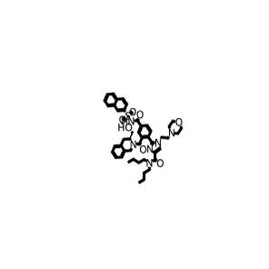 CCCCN(CCCC)C(=O)c1cn(CCN2CCOCC2)c(-c2ccc(C(=O)NS(=O)(=O)c3ccc4ccccc4c3)cc2C(=O)N2Cc3ccccc3C[C@H]2CO)n1